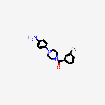 N#Cc1cccc(C(=O)N2CCN(c3ccc(N)cc3)CC2)c1